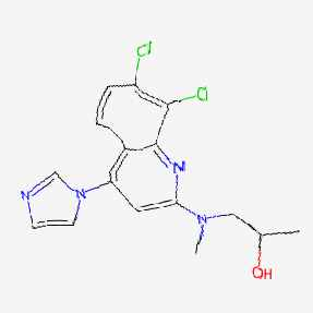 CC(O)CN(C)c1cc(-n2ccnc2)c2ccc(Cl)c(Cl)c2n1